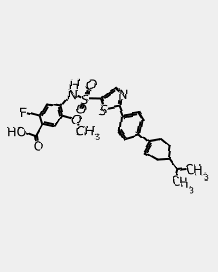 COc1cc(C(=O)O)c(F)cc1NS(=O)(=O)c1cnc(-c2ccc(C3=CCC(C(C)C)CC3)cc2)s1